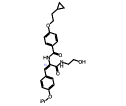 CC(C)Oc1ccc(/C=C(/NC(=O)c2ccc(OCCC3CC3)cc2)C(=O)NCCO)cc1